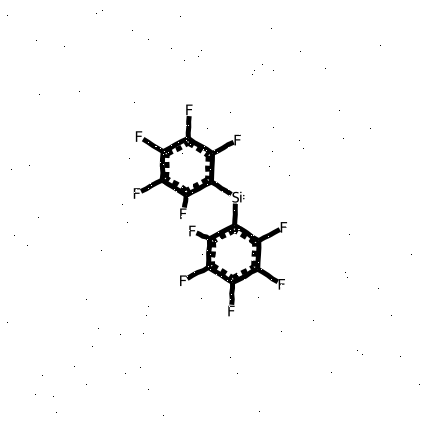 Fc1c(F)c(F)c([Si]c2c(F)c(F)c(F)c(F)c2F)c(F)c1F